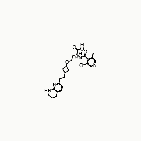 Cc1cncc(Cl)c1C(=O)N[C@@H](CCOC1CC(CCc2ccc3c(n2)NCCC3)C1)C(=O)O